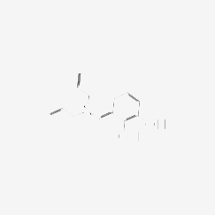 C=CCN(C=C1CC=CC(O)=C1O)CC=C